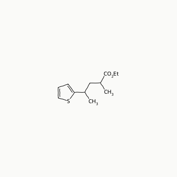 CCOC(=O)C(C)CC(C)c1cccs1